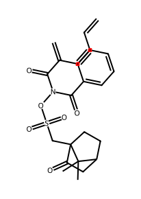 C=C/C=C\C(=C)C(=O)N(OS(=O)(=O)CC12CCC(CC1=O)C2(C)C)C(=O)c1ccccc1